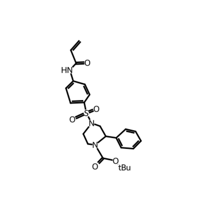 C=CC(=O)Nc1ccc(S(=O)(=O)N2CCN(C(=O)OC(C)(C)C)C(c3ccccc3)C2)cc1